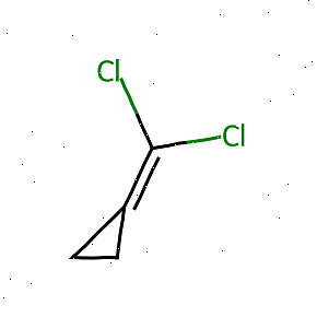 ClC(Cl)=C1CC1